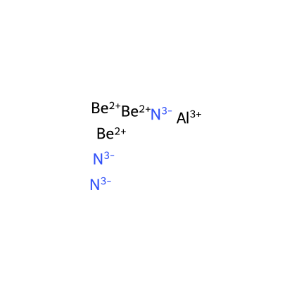 [Al+3].[Be+2].[Be+2].[Be+2].[N-3].[N-3].[N-3]